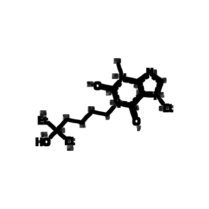 CCn1cnc2c1c(=O)n(CCCCC(O)(CC)CC)c(=O)n2C